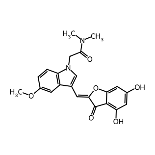 COc1ccc2c(c1)c(/C=C1\Oc3cc(O)cc(O)c3C1=O)cn2CC(=O)N(C)C